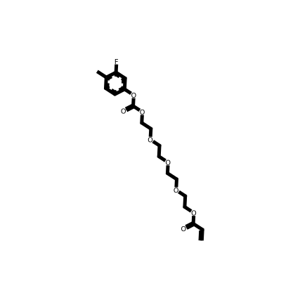 C=CC(=O)OCCOCCOCCOCCOC(=O)Oc1ccc(C)c(F)c1